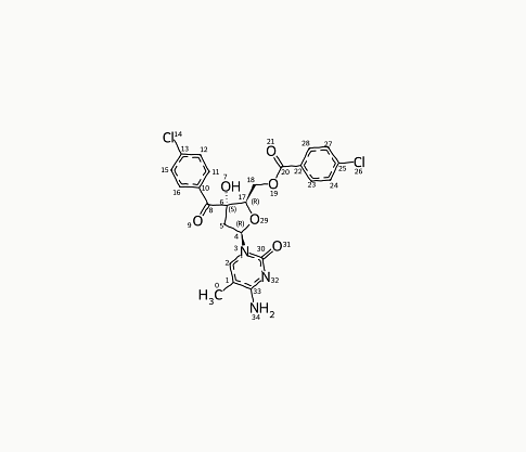 Cc1cn([C@H]2C[C@@](O)(C(=O)c3ccc(Cl)cc3)[C@@H](COC(=O)c3ccc(Cl)cc3)O2)c(=O)nc1N